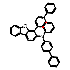 c1ccc(-c2ccc(-c3c(N(c4ccccc4)c4ccc(-c5ccccc5)cc4)ccc4c3oc3ccccc34)cc2)cc1